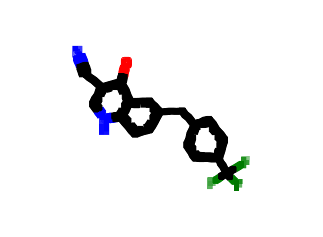 N#Cc1c[nH]c2ccc(Cc3ccc(C(F)(F)F)cc3)cc2c1=O